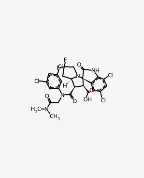 CN(C)C(=O)CN(C(=O)[C@H]1[C@H]2CC(F)(F)CN2[C@]2(C(=O)Nc3c(Cl)cc(Cl)cc32)[C@H]1C(=O)O)c1cc(Cl)cc(Cl)c1